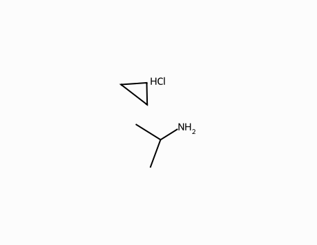 C1CC1.CC(C)N.Cl